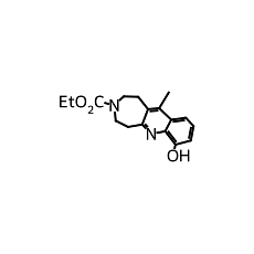 CCOC(=O)N1CCc2nc3c(O)cccc3c(C)c2CC1